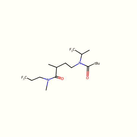 CC(CCN(C(=O)C(C)(C)C)C(C)C(F)(F)F)C(=O)N(C)CCC(F)(F)F